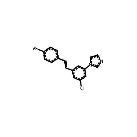 Clc1cc(C=Cc2ccc(Br)cc2)cc(-n2ccnc2)c1